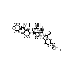 COc1ccc2c(c1)C(=O)N(C[C@](C#CC1=CC(C(=N)N3CCOCC3)=CCC1)(C=O)NC(N)=O)C2